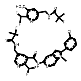 CC(C)(F)C(=O)NCc1cnc(C(F)F)c(C(=O)O)c1.Cn1c(-c2cccc(Cl)c2)cc2cc(NC(=O)c3cc(CNC(=O)C(C)(C)F)cnc3C(F)F)ncc21